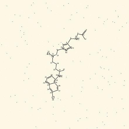 C=C(C)CNCc1cn(CCN(CC)CCCC(C)Nc2ccnc3cc(Cl)ccc23)nn1